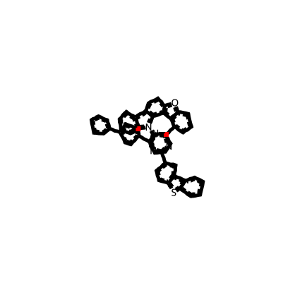 c1ccc(-c2ccc(-c3nc(-c4ccc5sc6ccccc6c5c4)nc(-c4cccc5oc6ccc7c8ccccc8n(-c8ccccc8)c7c6c45)n3)cc2)cc1